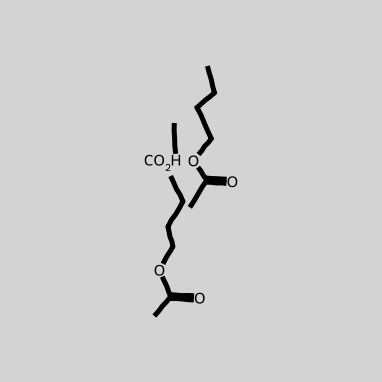 CC(=O)O.CCCCOC(C)=O.CCCCOC(C)=O